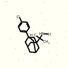 CCNC(C)(C)C12CC3CC(CC(c4ccc(Cl)cc4)(C3)C1)C2